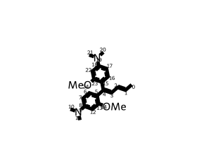 CC=CC=C(c1ccc(N(C)C)cc1OC)c1ccc(N(C)C)cc1OC